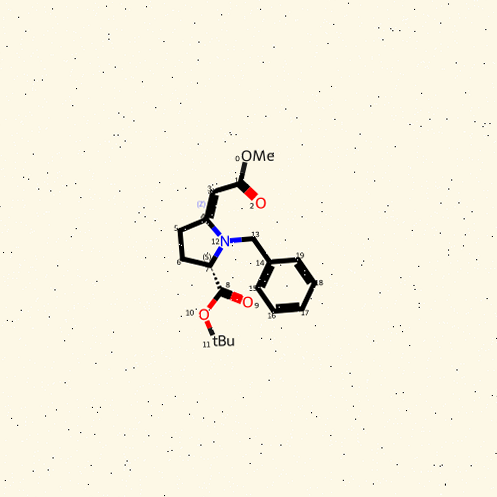 COC(=O)/C=C1/CC[C@@H](C(=O)OC(C)(C)C)N1Cc1ccccc1